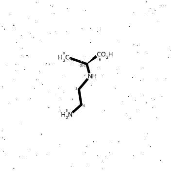 C[C@H](NCCN)C(=O)O